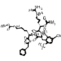 Cc1cc(O)cc(C)c1C[C@H](NC(=O)[C@H](CCCNC(=N)N)OC(N)=O)C(=O)N[C@H](CCCCNC(=O)OC(C)(C)C)c1nc(Cc2ccccc2)no1